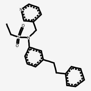 CCS(=O)(=O)N(Cc1cccnc1)c1cccc(CCc2ccccc2)c1